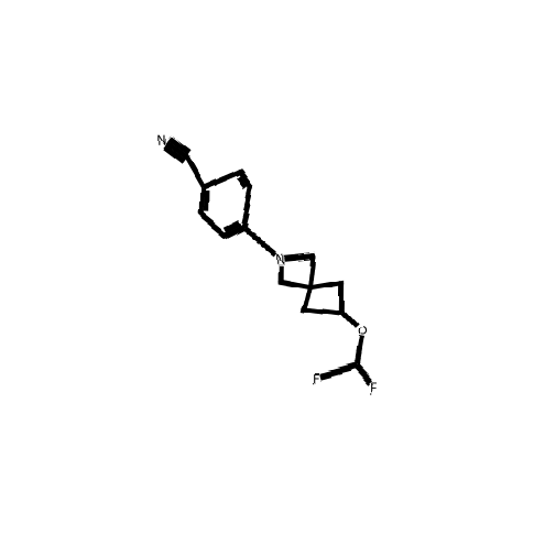 N#Cc1ccc(N2CC3(CC(OC(F)F)C3)C2)cc1